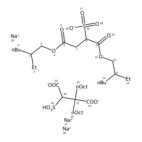 CCCCC(CC)COC(=O)CC(C(=O)OCC(CC)CCCC)S(=O)(=O)[O-].CCCCCCCCC(CCCCCCCC)(C(=O)[O-])C(C(=O)[O-])S(=O)(=O)O.[Na+].[Na+].[Na+]